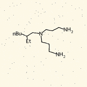 CCCCC(CC)CN(CCCN)CCCN